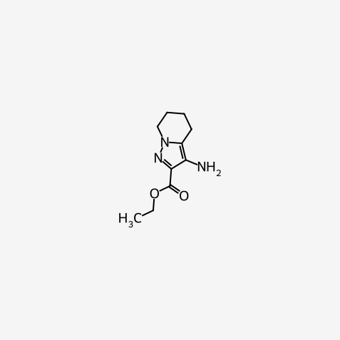 CCOC(=O)c1nn2c(c1N)CCCC2